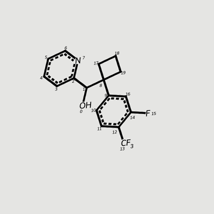 OC(c1ccccn1)C1(c2ccc(C(F)(F)F)c(F)c2)CCC1